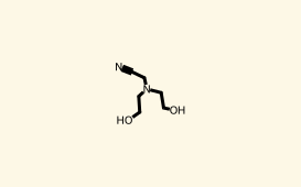 N#CCN(CCO)CCO